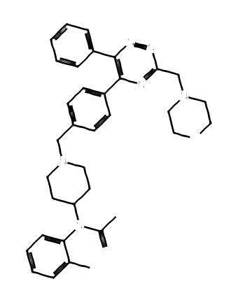 CC(=O)N(c1ccccc1C)C1CCN(Cc2ccc(-c3nc(CN4CCOCC4)nnc3-c3ccccc3)cc2)CC1